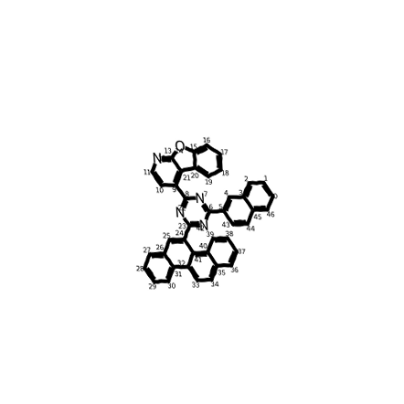 c1ccc2cc(-c3nc(-c4ccnc5oc6ccccc6c45)nc(-c4cc5ccccc5c5ccc6ccccc6c45)n3)ccc2c1